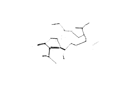 CC[C@@H](O)CC[C@@](C)(C(C)C)[C@H](CC)CC[C@@H](C)C1=C(C(C)C)C(=O)CC1